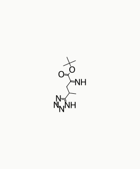 CC(CC(=N)C(=O)OC(C)(C)C)c1nnn[nH]1